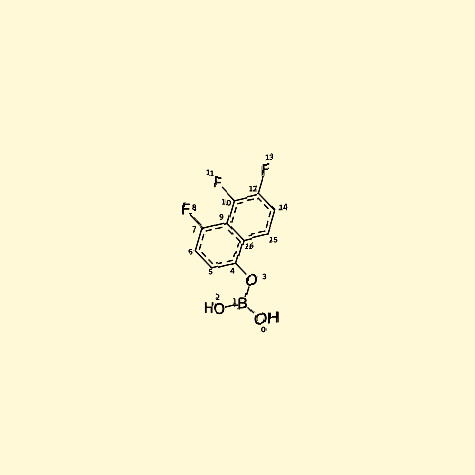 OB(O)Oc1ccc(F)c2c(F)c(F)ccc12